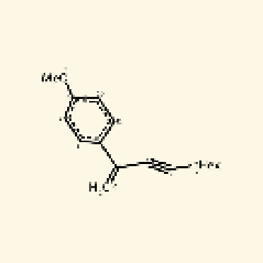 C=C(C#CCCCCCC)c1ccc(OC)cc1